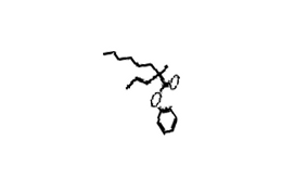 CCCCCCC(C)(CCC)C(=O)Oc1ccccc1